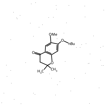 CCCCOc1cc2c(cc1OC)C(=O)CC(C)(C)O2